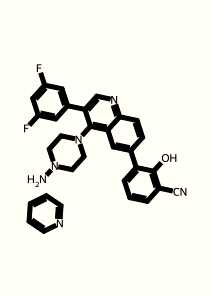 N#Cc1cccc(-c2ccc3ncc(-c4cc(F)cc(F)c4)c(N4CCN(N)CC4)c3c2)c1O.c1ccncc1